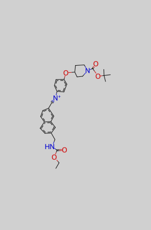 CCOC(=O)NCc1ccc2ccc(C#[N+]c3ccc(OC4CCN(C(=O)OC(C)(C)C)CC4)cc3)cc2c1